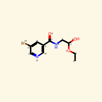 CCOC(O)CNC(=O)c1cncc(Br)c1